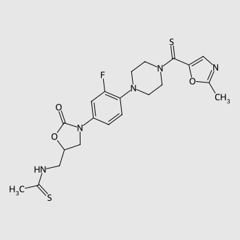 CC(=S)NCC1CN(c2ccc(N3CCN(C(=S)c4cnc(C)o4)CC3)c(F)c2)C(=O)O1